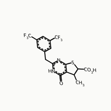 CC1c2c(nc(Cc3cc(C(F)(F)F)cc(C(F)(F)F)c3)[nH]c2=O)SC1C(=O)O